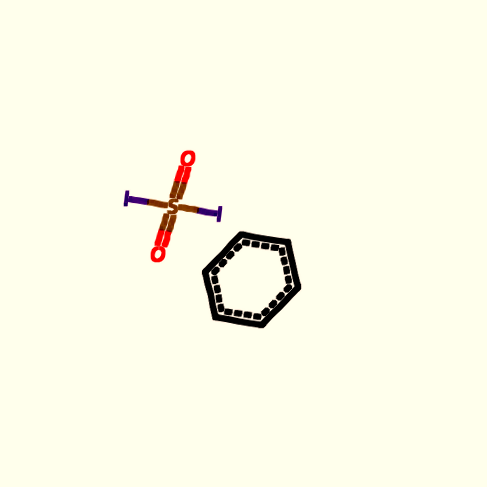 O=S(=O)(I)I.c1ccccc1